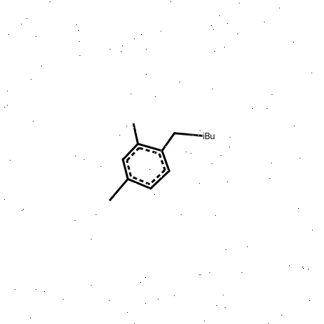 CCC(C)Cc1ccc(C)cc1C